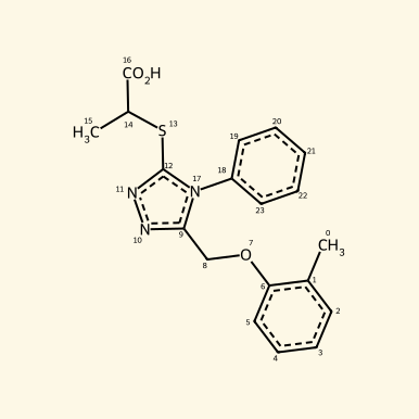 Cc1ccccc1OCc1nnc(SC(C)C(=O)O)n1-c1ccccc1